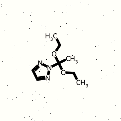 CCOC(C)(OCC)n1nccn1